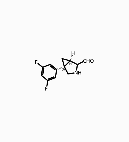 O=CC1NC[C@@]2(c3cc(F)cc(F)c3)C[C@@H]12